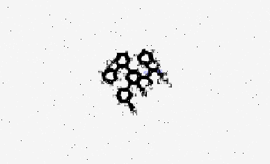 C=C/C(c1cc(-c2cccc3oc4ccccc4c23)cc(-c2cccc(C#N)c2)c1C#N)=c1\c(=C/C)sc2ccccc12